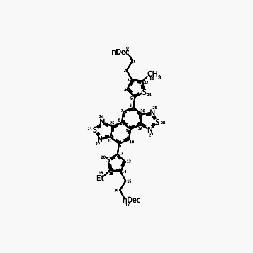 CCCCCCCCCCCCc1cc(-c2cc3c(cc(-c4cc(CCCCCCCCCCCC)c(CC)s4)c4nsnc43)c3nsnc23)sc1C